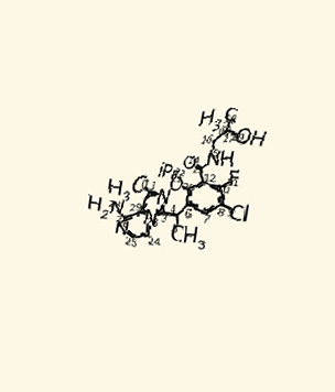 Cc1nc(C(C)c2cc(Cl)c(F)c(C(=O)NC[C@@H](C)O)c2OC(C)C)n2ccnc(N)c12